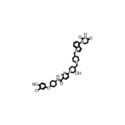 Cl.N#Cc1ccc(OC2CCC(NC(=O)c3ccc(N4CCC(CN5CCC(Cn6ccc7c(N8CCC(=O)NC8=O)cccc76)CC5)CC4)nn3)CC2)cc1Cl